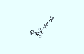 CCN(C(=O)CC/C(C)=N/OCCCC(F)(F)F)c1cn(-c2cccnc2)nc1Cl